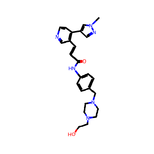 Cn1cc(-c2ccncc2C=CC(=O)Nc2ccc(CN3CCN(CCO)CC3)cc2)cn1